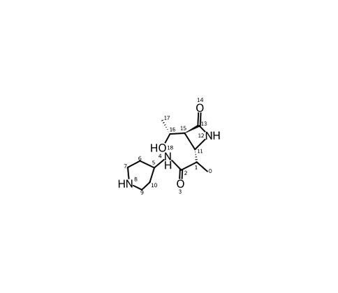 CC(C(=O)NC1CCNCC1)[C@H]1NC(=O)[C@@H]1[C@@H](C)O